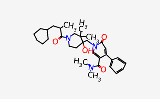 CC(CC1CCCCC1)C(=O)N1CCC(O)(Cn2cc(C(=O)N(C)C)c(-c3ccccc3)cc2=O)C(C)(C)C1